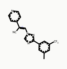 Cc1cc(-c2ncn(/C=C(\C#N)c3ccncc3)n2)cc(C(F)(F)F)c1